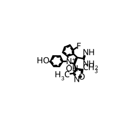 Cc1noc(C)c1C1=C(C(=N)N)c2c(F)cccc2[N+]1(O)c1ccc(O)cc1